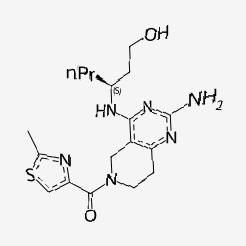 CCC[C@@H](CCO)Nc1nc(N)nc2c1CN(C(=O)c1csc(C)n1)CC2